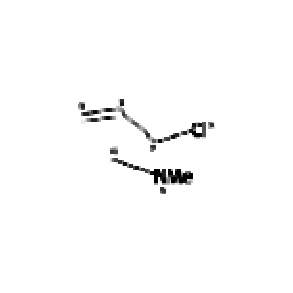 C=CCCl.CNC